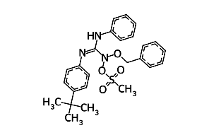 CC(C)(C)c1ccc(N=C(Nc2ccccc2)N(OCc2ccccc2)OS(C)(=O)=O)cc1